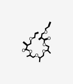 C=CCOCC(=C)C(=O)OCC(C)OCC(C)OCC(C)OC(=O)C(=C)COCC=C